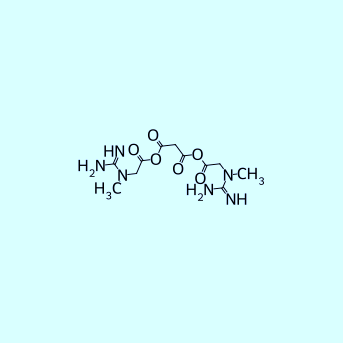 CN(CC(=O)OC(=O)CC(=O)OC(=O)CN(C)C(=N)N)C(=N)N